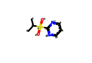 CC(C)S(=O)(=O)c1ncccn1